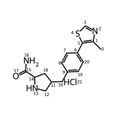 Cc1ncsc1-c1ccc(CC2CNC(C(N)=O)C2)cc1.Cl